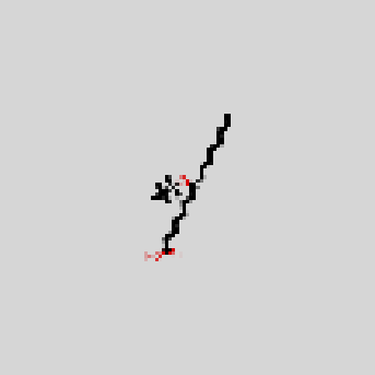 CCCCCCCC[C@@H](CCCCCCC(=O)O)O[Si](C)(C)C(C)(C)C